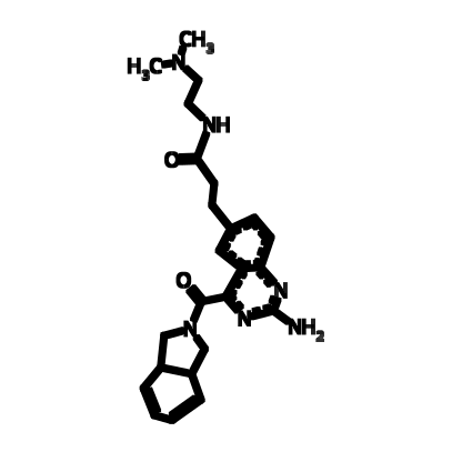 CN(C)CCNC(=O)CCc1ccc2nc(N)nc(C(=O)N3CC4C=CC=CC4C3)c2c1